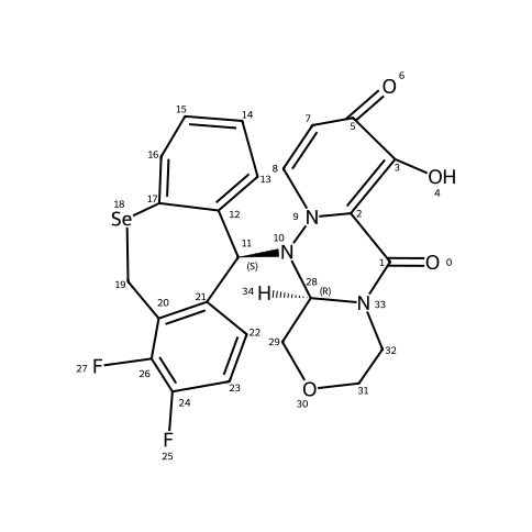 O=C1c2c(O)c(=O)ccn2N([C@@H]2c3ccccc3[Se]Cc3c2ccc(F)c3F)[C@@H]2COCCN12